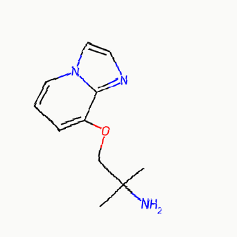 CC(C)(N)COc1cccn2ccnc12